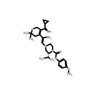 COc1ccc(OC(=O)N2CCN(/C=C(\N)C3=C(C(=N)C4CC4)COC(C)(C)C3)C[C@H]2C(C)C)cc1